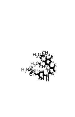 CC(C)N1CC(C)(C)Oc2c(F)cc(-c3nc(Nc4ccc(CNS(N)(=O)=O)cn4)ncc3F)cc21